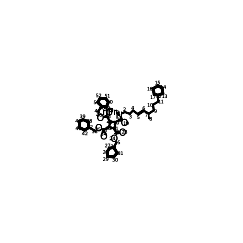 CCCN(CCC/C=C/[C@H](C)CCCc1ccccc1)C(=O)C1C(C(=O)OCc2ccccc2)C(C(=O)OCc2ccccc2)C1C(=O)OCc1ccccc1